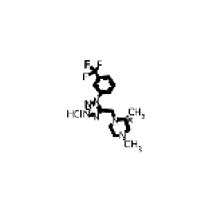 C[C@@H]1CN(C)CCN1Cc1nnnn1-c1cccc(C(F)(F)F)c1.Cl